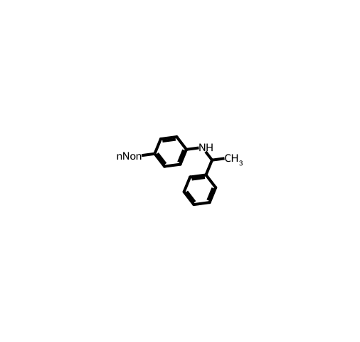 CCCCCCCCCc1ccc(NC(C)c2ccccc2)cc1